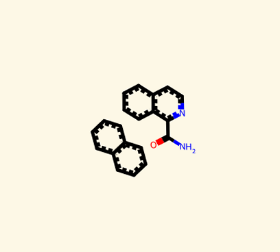 NC(=O)c1nccc2ccccc12.c1ccc2ccccc2c1